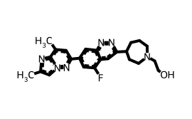 Cc1cn2nc(-c3cc(F)c4cc(C5CCCN(CCO)CC5)nnc4c3)cc(C)c2n1